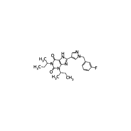 CCC(C)n1c(=O)c2[nH]c(-c3cnn(Cc4cccc(F)c4)c3)nc2n(C(C)CC)c1=O